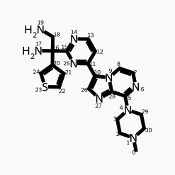 CN1CCN(c2nccn3c(-c4ccnc(C(N)(CN)c5ccsc5)n4)cnc23)CC1